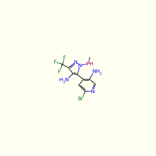 CPn1nc(C(F)(F)F)c(N)c1-c1cc(Br)ncc1N